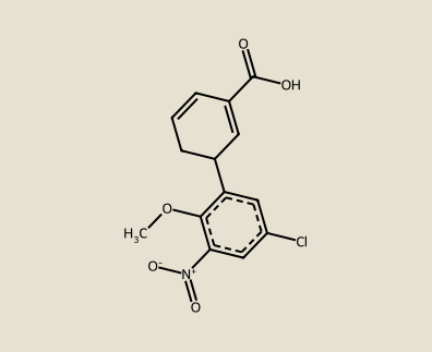 COc1c(C2C=C(C(=O)O)C=CC2)cc(Cl)cc1[N+](=O)[O-]